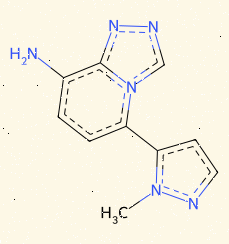 Cn1nccc1-c1ccc(N)c2nncn12